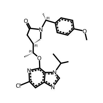 COc1ccc([C@@H](C)N2C[C@H]([C@@H](C)Oc3nc(Cl)cc4ncn(C(C)C)c34)CC2=O)cc1